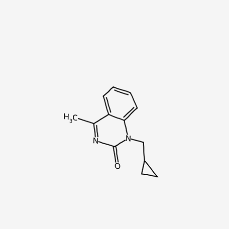 Cc1nc(=O)n(CC2CC2)c2ccccc12